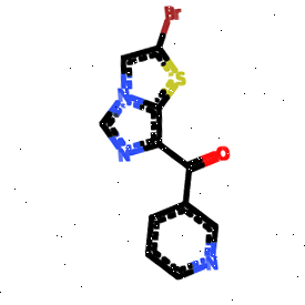 O=C(c1cccnc1)c1ncn2cc(Br)sc12